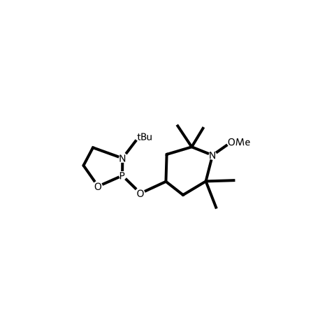 CON1C(C)(C)CC(OP2OCCN2C(C)(C)C)CC1(C)C